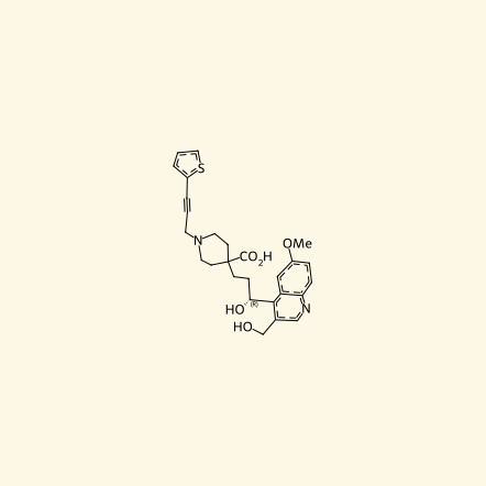 COc1ccc2ncc(CO)c([C@H](O)CCC3(C(=O)O)CCN(CC#Cc4cccs4)CC3)c2c1